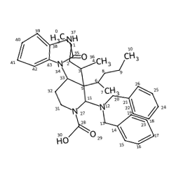 CCCC(C)C1(C(C)CCC)C(N(Cc2ccccc2)Cc2ccccc2)N(C(=O)O)CCC1n1c(=O)[nH]c2ccccc21